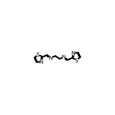 C(=NCCN=Cc1nccs1)c1nccs1